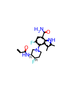 C=CC(=O)N[C@H]1CN(c2c(F)cc(C(N)=O)c3[nH]c(C)c(C)c23)CC[C@H]1F